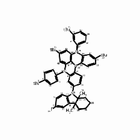 CC(C)(C)c1ccc(N2c3cc(N4c5ccc(F)cc5C5(C)CCCCC45C)ccc3B3c4ccc(C(C)(C)C)cc4N(c4cccc(C(C)(C)C)c4)c4cc(C(C)(C)C)cc2c43)cc1